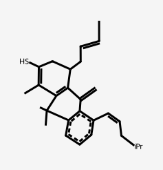 C=C1C2=C(C(C)=C(S)CC2CC=CC)C(C)(C)c2cccc(/C=C\CC(C)C)c21